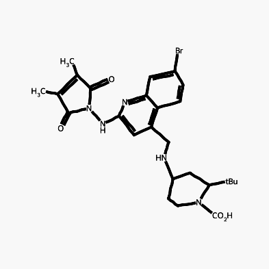 CC1=C(C)C(=O)N(Nc2cc(CNC3CCN(C(=O)O)C(C(C)(C)C)C3)c3ccc(Br)cc3n2)C1=O